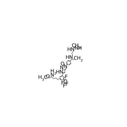 C=C[C@H](NCCCNC(C)=N)c1ccc(-n2cc3cc(-c4cc(CCC[C@@H](N)COC)cc(OC(F)(F)F)c4F)[nH]c3nc2=O)cc1